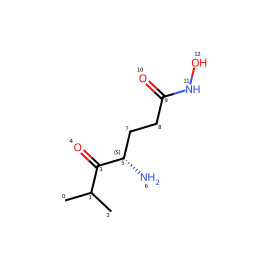 CC(C)C(=O)[C@@H](N)CCC(=O)NO